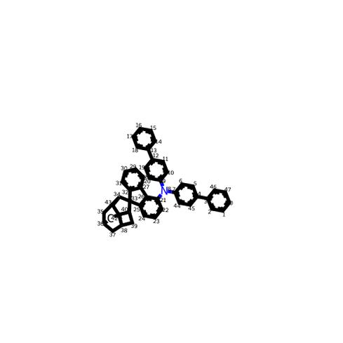 c1ccc(-c2ccc(N(c3ccc(-c4ccccc4)cc3)c3cccc4c3-c3ccccc3C43C4CC5CC6CC3C6(C5)C4)cc2)cc1